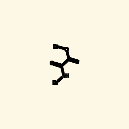 C=C(OCC)C(=O)NCC